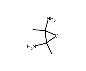 CC1(N)OC1(C)N